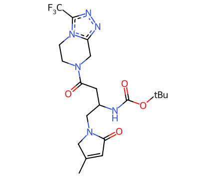 CC1=CC(=O)N(CC(CC(=O)N2CCn3c(nnc3C(F)(F)F)C2)NC(=O)OC(C)(C)C)C1